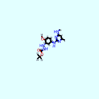 CNc1cc(C)nc(Nc2ccc(OC)c(NNC(=O)OC(C)(C)C)c2)n1